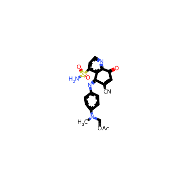 CC(=O)OCN(C)c1ccc(N=C2C(C#N)=CC(=O)c3nccc(S(N)(=O)=O)c32)cc1